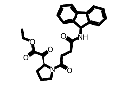 CCOC(=O)C(=O)[C@@H]1CCCN1C(=O)CCC(=O)NC1c2ccccc2-c2ccccc21